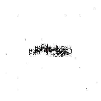 CC(C)=CCC[C@](C)(O[C@@H]1O[C@H](CO[C@@H]2OC[C@H](O)[C@H](O)[C@H]2O)[C@@H](O)[C@H](O)[C@H]1O)[C@H]1CC[C@]2(C)[C@@H]1[C@H](O)C[C@@H]1[C@@]3(C)CC[C@H](O[C@@H]4O[C@H](CO)[C@@H](O)[C@H](O)[C@H]4O[C@@H]4O[C@H](CO)[C@@H](O)[C@H](O)[C@H]4O)C(C)(C)[C@@H]3CC[C@]12C